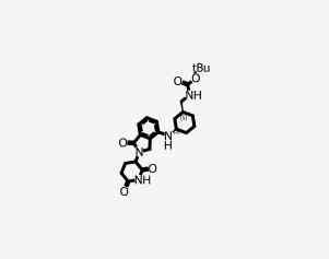 CC(C)(C)OC(=O)NC[C@H]1CCC[C@H](Nc2cccc3c2CN(C2CCC(=O)NC2=O)C3=O)C1